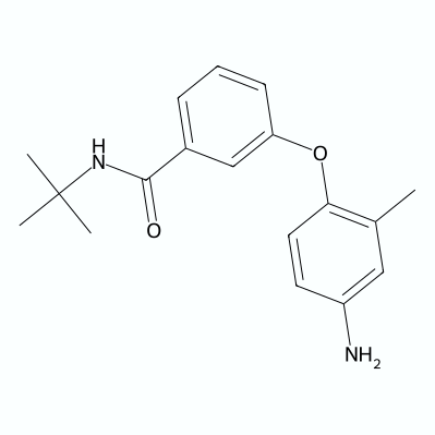 Cc1cc(N)ccc1Oc1cccc(C(=O)NC(C)(C)C)c1